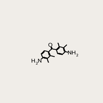 Cc1c(N)ccc(C(=O)c2ccc(N)c(C)c2C)c1C